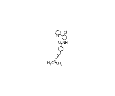 CN(C)CCSCc1ccc(C(=O)Nc2ccc(Cl)c(-c3ccccn3)c2)cc1